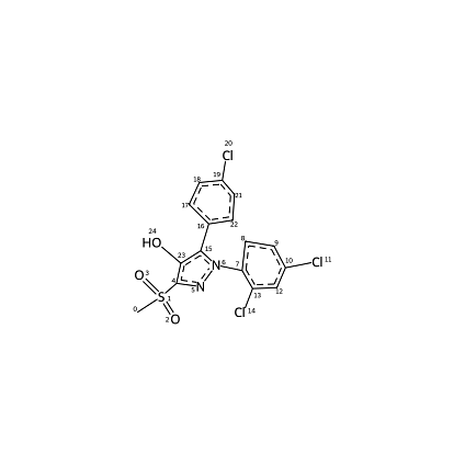 CS(=O)(=O)c1nn(-c2ccc(Cl)cc2Cl)c(-c2ccc(Cl)cc2)c1O